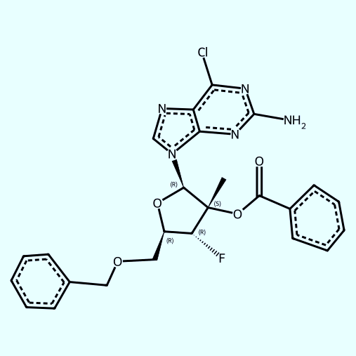 C[C@@]1(OC(=O)c2ccccc2)[C@H](F)[C@@H](COCc2ccccc2)O[C@H]1n1cnc2c(Cl)nc(N)nc21